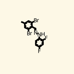 Cc1cc(Br)c(/C=N/Nc2ccc(F)cc2F)c(Br)c1